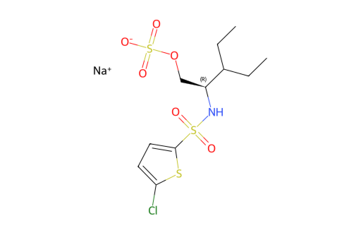 CCC(CC)[C@H](COS(=O)(=O)[O-])NS(=O)(=O)c1ccc(Cl)s1.[Na+]